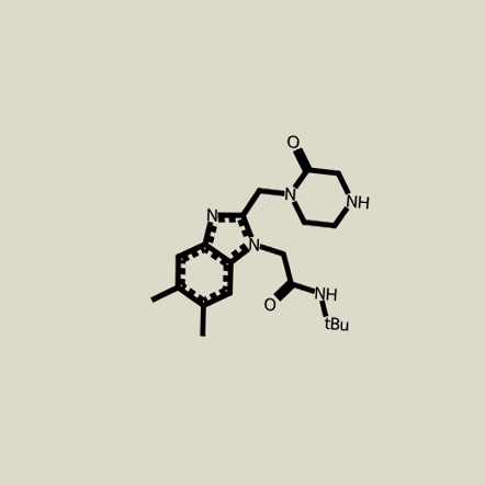 Cc1cc2nc(CN3CCNCC3=O)n(CC(=O)NC(C)(C)C)c2cc1C